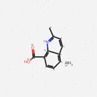 Cc1ccc2cccc(C(=O)O)c2n1.[AlH3]